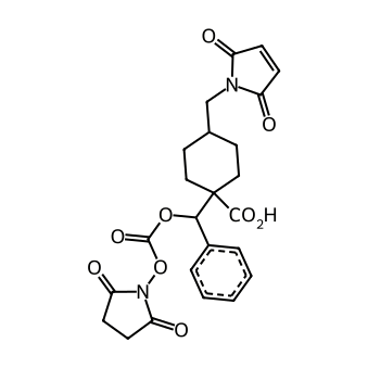 O=C(OC(c1ccccc1)C1(C(=O)O)CCC(CN2C(=O)C=CC2=O)CC1)ON1C(=O)CCC1=O